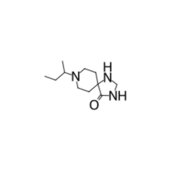 CCC(C)N1CCC2(CC1)NCNC2=O